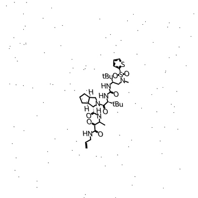 C=CCNC(=O)C(=O)C(C)NC(=O)[C@@H]1[C@H]2CCC[C@H]2CN1C(=O)[C@@H](NC(=O)N[C@H](CN(C)S(=O)(=O)c1cccs1)C(C)(C)C)C(C)(C)C